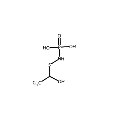 O=P(O)(O)NSC(O)C(Cl)(Cl)Cl